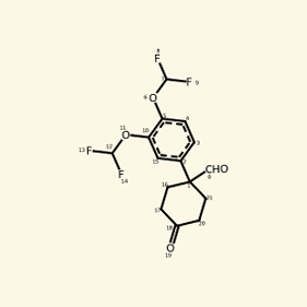 O=CC1(c2ccc(OC(F)F)c(OC(F)F)c2)CCC(=O)CC1